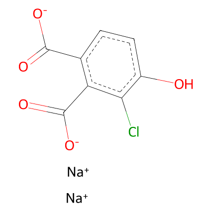 O=C([O-])c1ccc(O)c(Cl)c1C(=O)[O-].[Na+].[Na+]